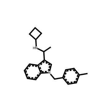 Cc1ccc(Cn2cc(C(C)NC3CCC3)c3ccccc32)cc1